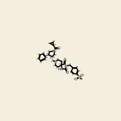 CS(=O)(=O)c1ccc(CN2C(=O)NC3(CCN(C[C@H]4CN(C(=O)C5CC5)C[C@@H]4c4ccccc4)CC3)C2=O)cc1